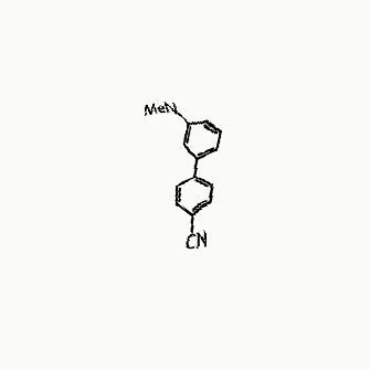 CNc1cccc(-c2ccc(C#N)cc2)c1